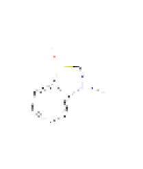 CCN1C[S+]([O-])c2ccccc21